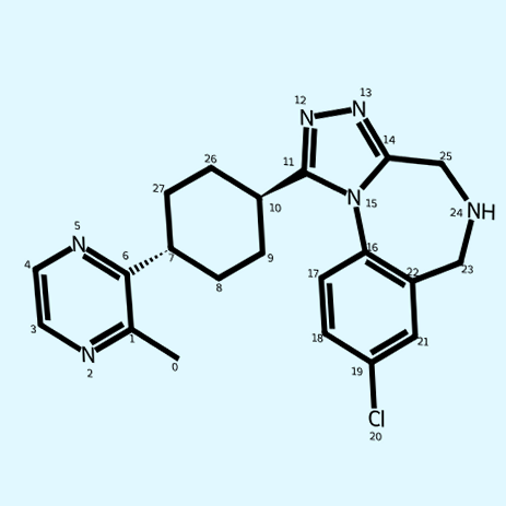 Cc1nccnc1[C@H]1CC[C@H](c2nnc3n2-c2ccc(Cl)cc2CNC3)CC1